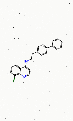 Fc1cccc2c(NCCc3ccc(-c4ccccc4)cc3)ccnc12